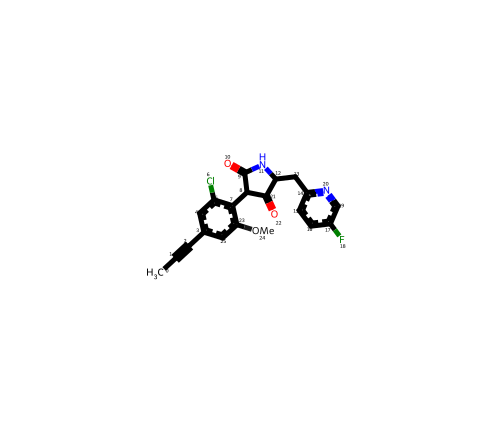 CC#Cc1cc(Cl)c(C2C(=O)NC(Cc3ccc(F)cn3)C2=O)c(OC)c1